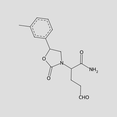 Cc1cccc(C2CN(C(CCC=O)C(N)=O)C(=O)O2)c1